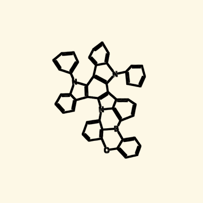 c1ccc(-n2c3ccccc3c3c2c2c4cccc5c4n(c2c2c4ccccc4n(-c4ccccc4)c32)-c2cccc3c2B5c2ccccc2O3)cc1